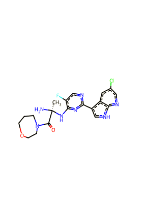 C[C@](N)(Nc1nc(-c2c[nH]c3ncc(Cl)cc23)ncc1F)C(=O)N1CCCOCC1